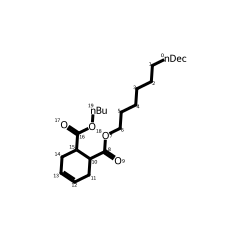 CCCCCCCCCCCCCCCCOC(=O)C1CC=CCC1C(=O)OCCCC